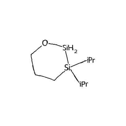 CC(C)[Si]1(C(C)C)CCCO[SiH2]1